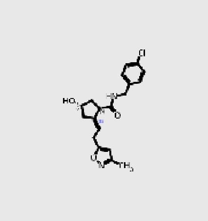 Cc1cc(C/C=C2\C[C@H](O)C[C@H]2C(=O)NCc2ccc(Cl)cc2)on1